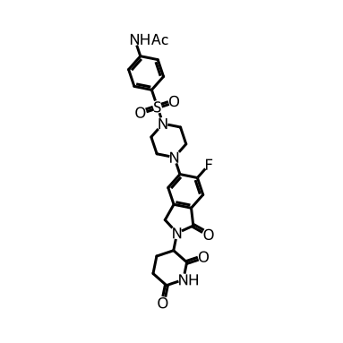 CC(=O)Nc1ccc(S(=O)(=O)N2CCN(c3cc4c(cc3F)C(=O)N(C3CCC(=O)NC3=O)C4)CC2)cc1